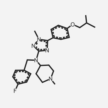 CC(C)COc1ccc(-c2nc(N(Cc3ccc(F)cc3)C3CCN(C)CC3)nn2C)cc1